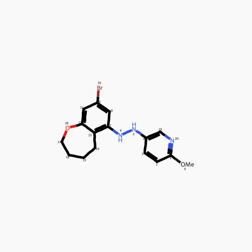 COc1ccc(NNc2cc(Br)cc3c2CCCCO3)cn1